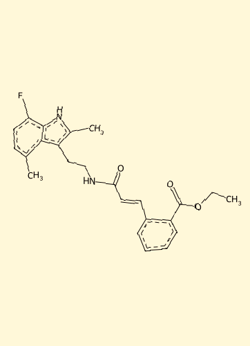 CCOC(=O)c1ccccc1/C=C/C(=O)NCCc1c(C)[nH]c2c(F)ccc(C)c12